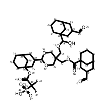 O=CC1CC2CCCC(C(=O)OCC3(COC(O)C45CCCC(CC(C=O)C4)C5)COC(C4CC5CCCC(OC(=O)C(F)(F)S(=O)(=O)O)(C5)C4)OC3)(C1)C2